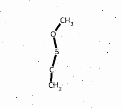 [CH2]CSOC